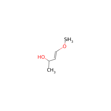 CC(O)C=CO[SiH3]